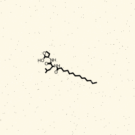 CCCCCCCCCCCCCC(=O)NC(CC(C)C)C(=O)N[C@H]1CCOC1O